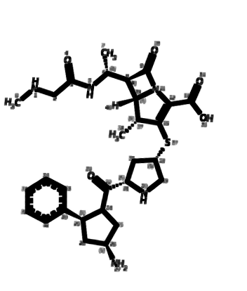 CNCC(=O)N[C@H](C)[C@H]1C(=O)N2C(C(=O)O)=C(S[C@@H]3CN[C@H](C(=O)C4C[C@@H](N)C[C@H]4c4ccccc4)C3)[C@H](C)[C@H]12